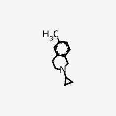 Cc1ccc2c(c1)CCN(C1CC1)C2